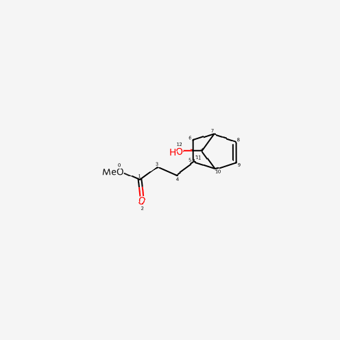 COC(=O)CCC1CC2C=CC1C2O